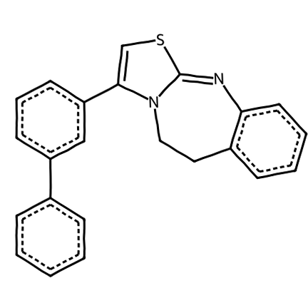 C1=C(c2cccc(-c3ccccc3)c2)N2CCc3ccccc3N=C2S1